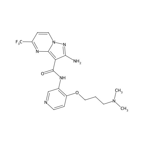 CN(C)CCCOc1ccncc1NC(=O)c1c(N)nn2ccc(C(F)(F)F)nc12